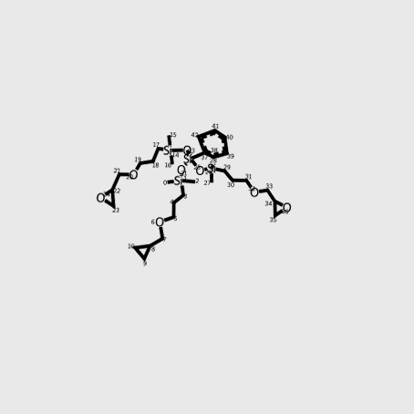 C[Si](C)(CCCOCC1CC1)O[Si](O[Si](C)(C)CCCOCC1CO1)(O[Si](C)(C)CCCOCC1CO1)c1ccccc1